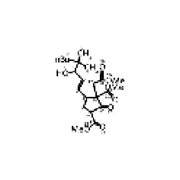 CCCCC(C)(C)C(O)C=CC1CC(C(=O)OC)C(=O)C1(CC(=O)OC)C(=O)OC